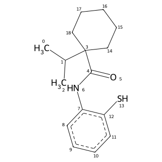 CC(C)C1(C(=O)Nc2ccccc2S)CCCCC1